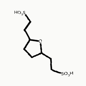 O=S(=O)(O)CCC1CCC(CCS(=O)(=O)O)O1